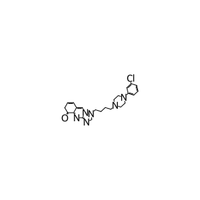 O=C1CC=CC2=CN3C(=NCN3CCCCN3CCN(c4cccc(Cl)c4)CC3)N=C12